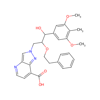 COc1cc(C(O)C(Cn2cc3nccc(C(=O)O)c3n2)OCCc2ccccc2)cc(OC)c1C